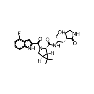 CC1(C)[C@@H]2[C@@H](C(=O)N[C@H](CO)C[C@@H]3CCNC3=O)N(C(=O)c3cc4c(F)cccc4[nH]3)C[C@@H]21